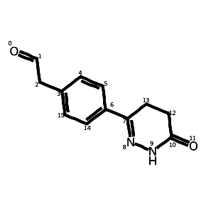 O=CCc1ccc(C2=NNC(=O)CC2)cc1